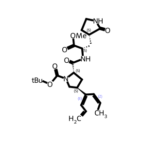 C=C/C=C(\C=C/C)[C@@H]1C[C@@H](C(=O)N[C@@H](C[C@@H]2CCNC2=O)C(=O)OC)N(C(=O)OC(C)(C)C)C1